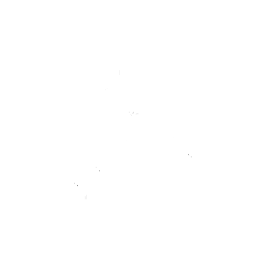 COc1cc2c3c(c(NC(C)C)nc2cc1OCC1CCN(C)C1)CCC3.O=C(O)C(F)(F)F